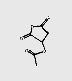 CC(=O)OC1CC(=O)OC1=O